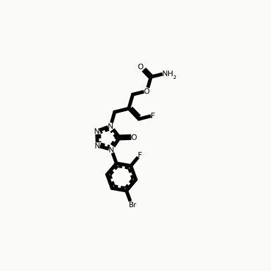 NC(=O)OCC(=CF)Cn1nnn(-c2ccc(Br)cc2F)c1=O